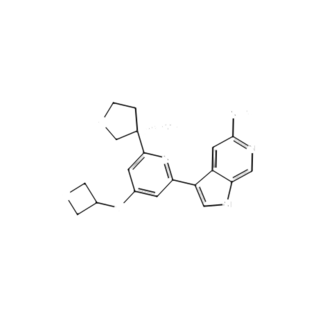 CO[C@@]1(c2cc(OC3COC3)cc(-c3c[nH]c4cnc(NC(C)=O)cc34)n2)CCOC1